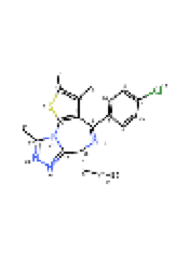 Cc1sc2c(c1C)C(c1ccc(Cl)cc1)=N[C@H](CC=O)c1nnc(C)n1-2